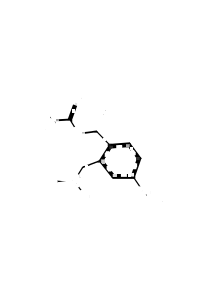 C[C@@H](OC(N)=O)c1ccc([N+](=O)[O-])cc1C[S@+](C)[O-]